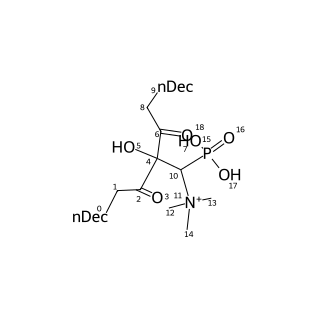 CCCCCCCCCCCC(=O)C(O)(C(=O)CCCCCCCCCCC)C([N+](C)(C)C)P(=O)(O)O